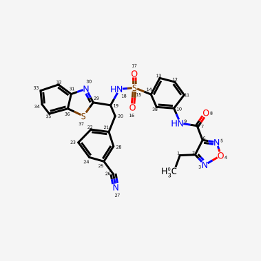 CCc1nonc1C(=O)Nc1cccc(S(=O)(=O)NC(Cc2cccc(C#N)c2)c2nc3ccccc3s2)c1